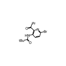 CC(C)C(=O)c1nc(Br)ccc1NC(=O)C(C)(C)C